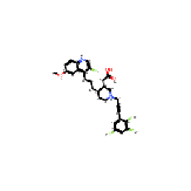 COc1ccc2ncc(F)c(CCC[C@@H]3CCN(CC#Cc4cc(F)cc(F)c4F)C[C@@H]3CC(=O)O)c2c1